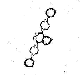 O=C(c1ccccc1C(=O)N1CCN(c2ccccc2)CC1)N1CCN(c2ccccc2)CC1